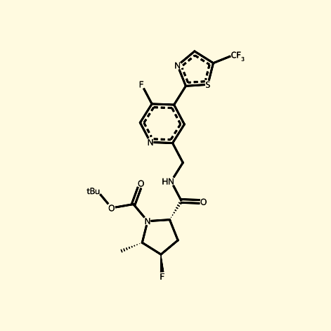 C[C@H]1[C@H](F)C[C@@H](C(=O)NCc2cc(-c3ncc(C(F)(F)F)s3)c(F)cn2)N1C(=O)OC(C)(C)C